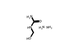 N.N.NC(=O)NCO